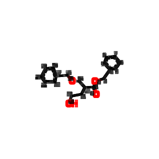 O=C(OCc1ccccc1)C(CCO)COCc1ccccc1